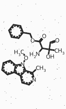 CC(O)(C=O)C(N)C(=O)OCc1ccccc1.COn1c2ccccc2c2ccnc(C)c21